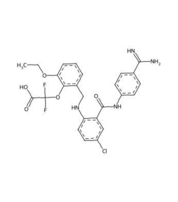 CCOc1cccc(CNc2ccc(Cl)cc2C(=O)Nc2ccc(C(=N)N)cc2)c1OC(F)(F)C(=O)O